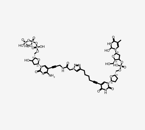 CC1=CN([C@H]2CC(OP(=O)(O)OC[C@@H]3CC[C@H](n4cc(C#CCCCCc5cn(CC(=O)NCC#Cc6cn([C@@H]7CC(O)[C@H](COP(=O)(O)OP(=O)(O)OP(=O)(O)O)O7)c(=O)nc6N)nn5)c(=O)[nH]c4=O)O3)[C@@H](CO)O2)C(O)NC1=O